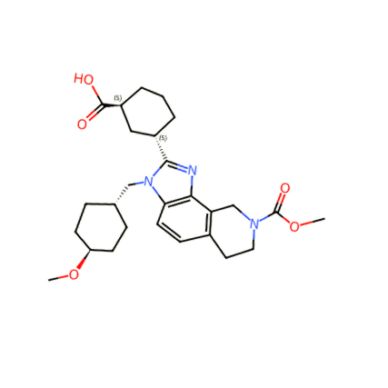 COC(=O)N1CCc2ccc3c(nc([C@H]4CCC[C@H](C(=O)O)C4)n3C[C@H]3CC[C@H](OC)CC3)c2C1